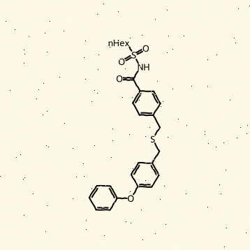 CCCCCCS(=O)(=O)NC(=O)c1ccc(CSCc2ccc(Oc3ccccc3)cc2)cc1